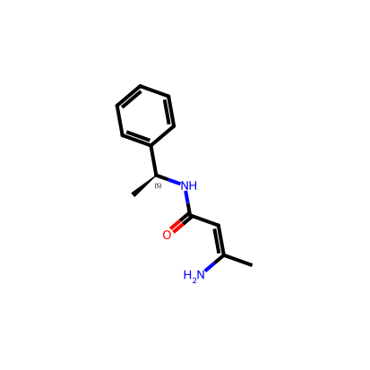 CC(N)=CC(=O)N[C@@H](C)c1ccccc1